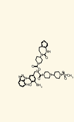 Bc1cc(C[C@@H](OC(=O)N2CCC(N3CCc4ccccc4NC3=O)CC2)C(=O)N2CCN(C3CCN(S(C)(=O)=O)CC3)CC2)cc(-n2nnc3ccccc32)c1O